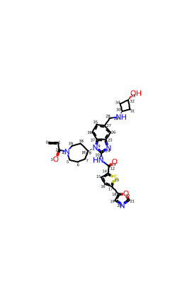 C=CC(=O)N1CCC[C@@H](n2c(NC(=O)c3ccc(-c4cnco4)s3)nc3cc(CN[C@H]4C[C@H](O)C4)ccc32)CC1